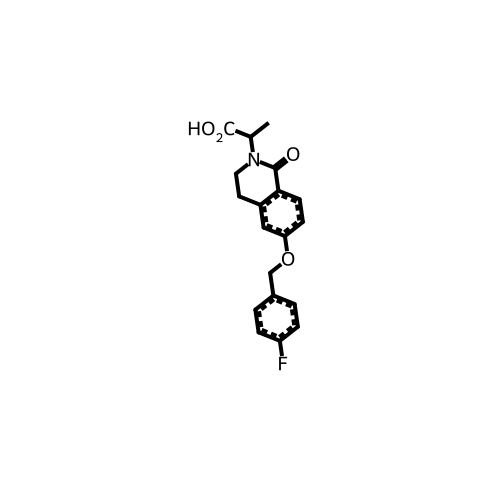 CC(C(=O)O)N1CCc2cc(OCc3ccc(F)cc3)ccc2C1=O